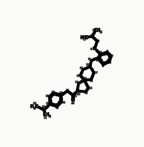 CC(C)COc1ccccc1CN1CCC2(CC1)CCN(C(=O)Cc1ccc(N(C)C)cc1)C2